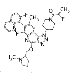 C=C(F)C(=O)N1CCC(n2nnc3c(OCC4CCCN4C)nc4c(F)c(-c5c(F)ccc6cccnc56)c(C)cc4c32)CC1